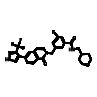 O=C(NCC1CCOCC1)c1cc(F)cc(Cn2ccc3cc(-c4c[nH]nc4C(F)(F)F)ccc3c2=O)c1